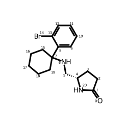 O=C1CC[C@@H](CNC2(c3ccccc3Br)CCCCC2)N1